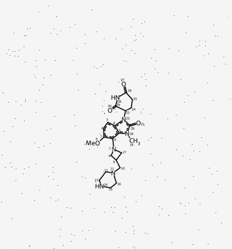 COc1ccc2c(c1N1CC(CN3CCNCC3)C1)n(C)c(=O)n2C1CCC(=O)NC1=O